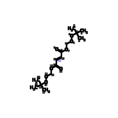 CC(C)(C)OOCOC(=O)/C=C/C(=O)OCOOC(C)(C)C